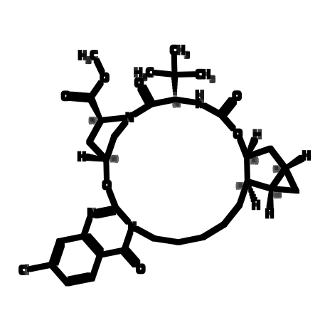 COC(=O)[C@@H]1C[C@@H]2CN1C(=O)[C@H](C(C)(C)C)NC(=O)O[C@@H]1C[C@@H]3C[C@@H]3[C@H]1CCCCCn1c(nc3cc(Cl)ccc3c1=O)O2